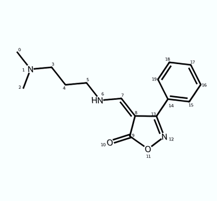 CN(C)CCCNC=C1C(=O)ON=C1c1ccccc1